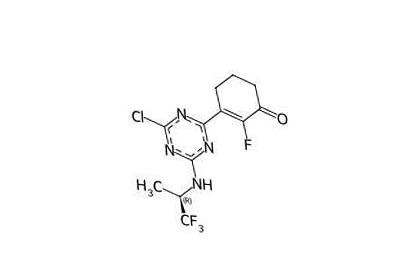 C[C@@H](Nc1nc(Cl)nc(C2=C(F)C(=O)CCC2)n1)C(F)(F)F